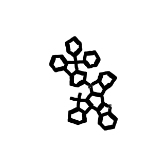 CC1(C)c2ccccc2-c2c1c1c(c3ccccc3n1-c1ccc3c(c1)C(c1ccccc1)(c1ccccc1)c1ccccc1-3)c1sc3ccccc3c21